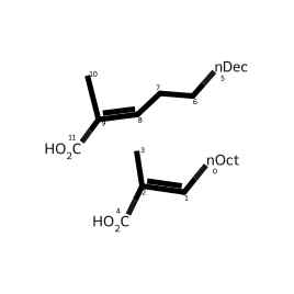 CCCCCCCCC=C(C)C(=O)O.CCCCCCCCCCCCC=C(C)C(=O)O